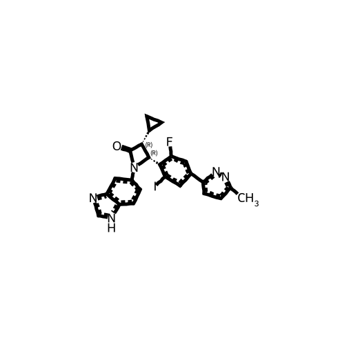 Cc1ccc(-c2cc(F)c([C@H]3[C@@H](C4CC4)C(=O)N3c3ccc4[nH]cnc4c3)c(I)c2)nn1